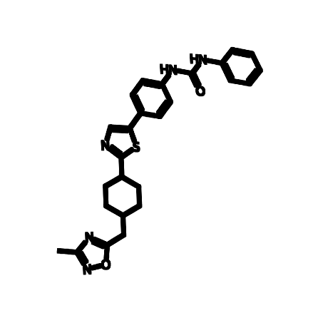 Cc1noc(CC2CCC(c3ncc(-c4ccc(NC(=O)Nc5ccccc5)cc4)s3)CC2)n1